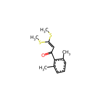 CSC(=CC(=O)c1c(C)cccc1C)SC